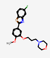 COc1ccc(-c2nc3cc(F)ccc3s2)cc1OCCCN1CCOCC1